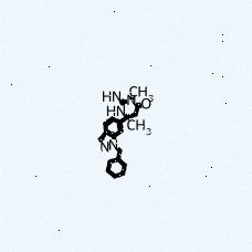 CN1C(=N)N[C@](C)(c2ccc3cnn(CC4CCCCC4)c3c2)CC1=O